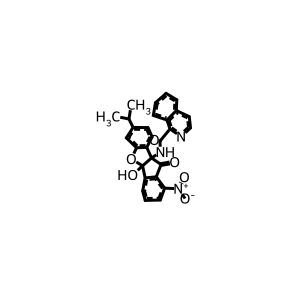 CC(C)c1ccc2c(c1)OC1(O)c3cccc([N+](=O)[O-])c3C(=O)C21NC(=O)c1nccc2ccccc12